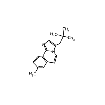 Cc1ccc2c(ccn3c(CC(C)(C)C)cnc23)c1